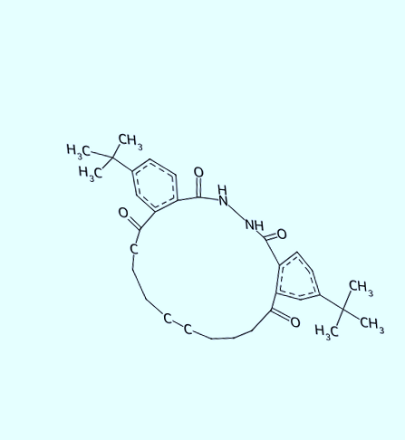 CC(C)(C)c1ccc2c(c1)C(=O)CCCCCCCCC(=O)c1cc(C(C)(C)C)ccc1C(=O)NNC2=O